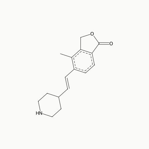 Cc1c(/C=C/C2CCNCC2)ccc2c1COC2=O